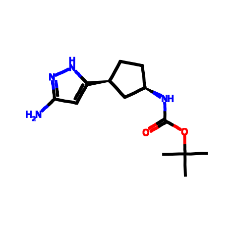 CC(C)(C)OC(=O)N[C@@H]1CC[C@H](c2cc(N)n[nH]2)C1